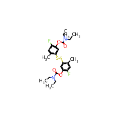 CCN(CC)C(=O)Oc1cc(SSc2cc(OC(=O)N(CC)CC)c(F)cc2C)c(C)cc1F